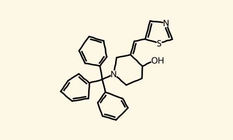 OC1CCN(C(c2ccccc2)(c2ccccc2)c2ccccc2)C/C1=C/c1cncs1